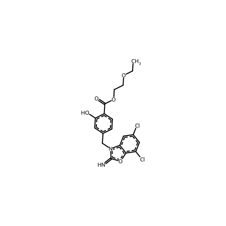 CCOCCOC(=O)c1ccc(Cn2c(=N)oc3c(Cl)cc(Cl)cc32)cc1O